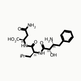 CC(C)C[C@H](NC(=O)[C@@H](O)[C@H](N)Cc1ccccc1)C(=O)N[C@H](CC(N)=O)C(=O)O